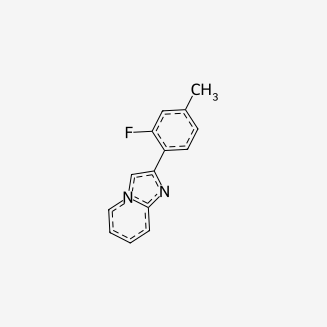 Cc1ccc(-c2cn3ccccc3n2)c(F)c1